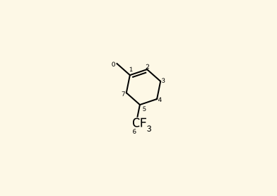 CC1=CCCC(C(F)(F)F)C1